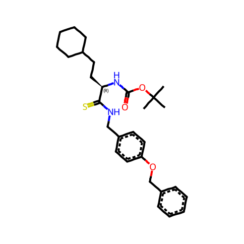 CC(C)(C)OC(=O)N[C@H](CCC1CCCCC1)C(=S)NCc1ccc(OCc2ccccc2)cc1